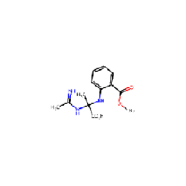 CC(=N)NC(C)(Nc1ccccc1C(=O)OC(C)(C)C)C(=O)O